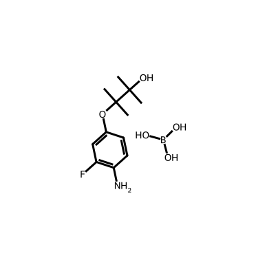 CC(C)(O)C(C)(C)Oc1ccc(N)c(F)c1.OB(O)O